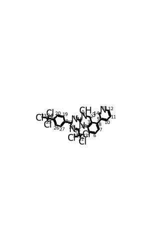 CN(Cc1ccccc1-c1cccnc1)c1nc(-c2ccc(C(Cl)(Cl)Cl)cc2)nc(C(Cl)(Cl)Cl)n1